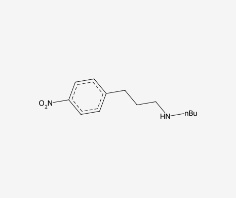 CCCCNCCCc1ccc([N+](=O)[O-])cc1